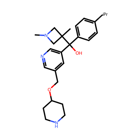 CC(C)c1ccc(C(O)(c2cncc(COC3CCNCC3)c2)C2(C)CN(C)C2)cc1